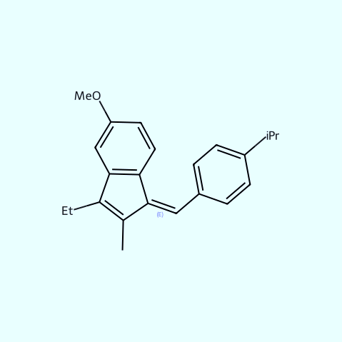 CCC1=C(C)/C(=C/c2ccc(C(C)C)cc2)c2ccc(OC)cc21